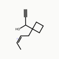 C#CC(O)C1(C/C=C\C)CCC1